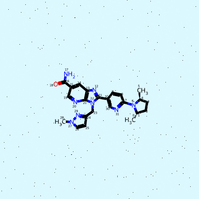 C[C@H]1CC[C@H](C)N1c1ccc(-c2nc3cc(C(N)=O)cnc3n2Cc2ccn(C)n2)cn1